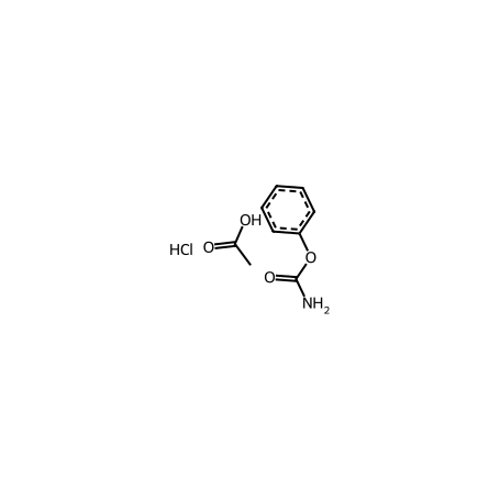 CC(=O)O.Cl.NC(=O)Oc1ccccc1